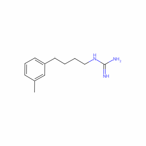 Cc1cccc([CH]CCCNC(=N)N)c1